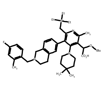 CC[N+](CC)(CC)Cc1nc(C)c(C(OC(C)(C)C)C(=O)O)c(N2CCC(C)(C)CC2)c1-c1ccc2c(c1)CCN(Cc1ccc(F)cc1C)C2